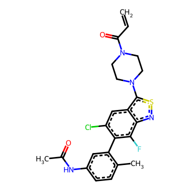 C=CC(=O)N1CCN(c2snc3c(F)c(-c4cc(NC(C)=O)ccc4C)c(Cl)cc23)CC1